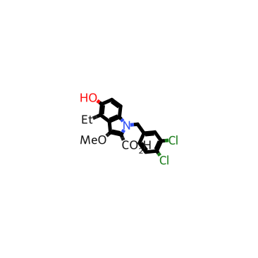 CCc1c(O)ccc2c1c(OC)c(C(=O)O)n2Cc1ccc(Cl)c(Cl)c1